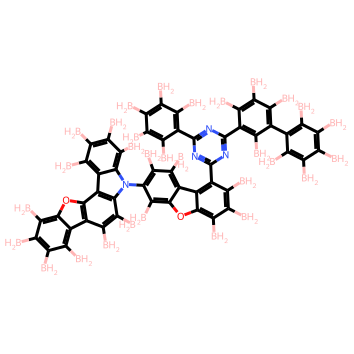 Bc1c(B)c(B)c(-c2nc(-c3c(B)c(B)c(B)c(-c4c(B)c(B)c(B)c(B)c4B)c3B)nc(-c3c(B)c(B)c(B)c4oc5c(B)c(-n6c7c(B)c(B)c(B)c(B)c7c7c8oc9c(B)c(B)c(B)c(B)c9c8c(B)c(B)c76)c(B)c(B)c5c34)n2)c(B)c1B